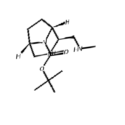 CNC[C@H]1NC[C@@H]2CC[C@H]1N2C(=O)OC(C)(C)C